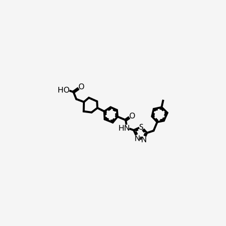 Cc1ccc(Cc2nnc(NC(=O)c3ccc(C4CCC(CC(=O)O)CC4)cc3)s2)cc1